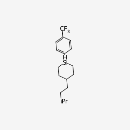 CC(C)CCC1CC[SiH](c2ccc(C(F)(F)F)cc2)CC1